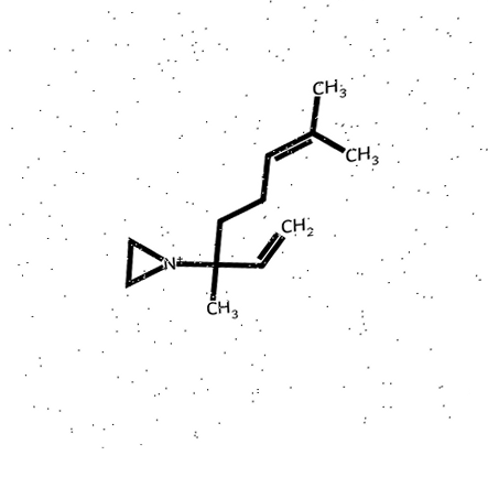 C=CC(C)(CCC=C(C)C)[N+]1CC1